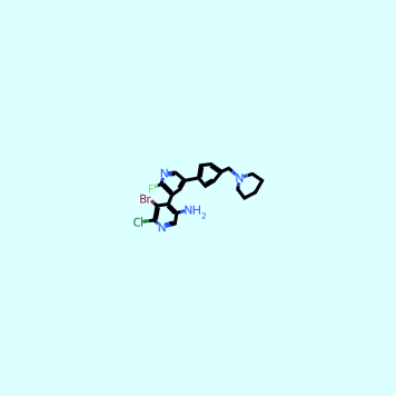 Nc1cnc(Cl)c(Br)c1-c1cc(-c2ccc(CN3CCCCC3)cc2)cnc1F